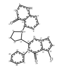 O=c1nc[nH]c2ncnc(N3CCCC3c3nn4ccc(Cl)c4c(=O)n3-c3ccccc3)c12